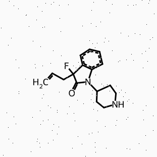 C=CCC1(F)C(=O)N(C2CCNCC2)c2ccccc21